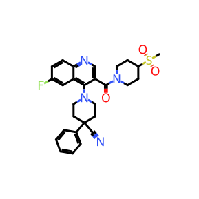 CS(=O)(=O)C1CCN(C(=O)c2cnc3ccc(F)cc3c2N2CCC(C#N)(c3ccccc3)CC2)CC1